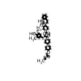 CCOC(=O)COC1CCN(C2CCN(C(=O)[C@@H](Cc3cc(C)c(O)c(C)c3)OC(=O)N3CCC(N4CCc5ccccc5NC4=O)CC3)CC2)CC1